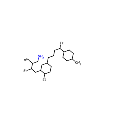 CCCC(CN)C(CC)CC1CC(CCCC(CC)C2CCC(C)CC2)CCC1CC